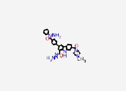 CN1CCN(C(=O)c2ccc3c(c2)[nH]c2c(C(=O)N=NN)cc(-c4ccc(C(=O)N(N)c5ccccc5)cc4)cc23)CC1